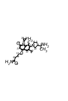 Cc1c(N2CC[C@@H]([C@H](C)N)C2)c(F)cc2c(OCCCC(N)=O)cc(=O)n(C3CC3)c12